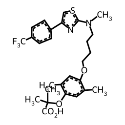 Cc1cc(OC(C)(C)C(=O)O)c(C)cc1OCCCCN(C)c1nc(-c2ccc(C(F)(F)F)cc2)cs1